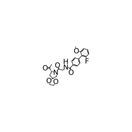 COc1cccc(F)c1-c1ccc(C(=O)NCC(=O)N2CC3(C[C@H]2C(C)=O)OCCO3)cc1